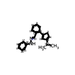 CN(C)C1=CCC(c2ccccc2/C=N/Nc2ccccc2)=C1